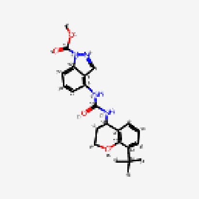 COC(=O)n1ncc2c(NC(=O)NC3CCOc4c3cccc4C(C)(C)C)cccc21